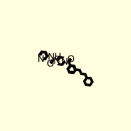 O=C(Nc1cccnc1)N1CCN(C(=O)c2cccc(CCCC3CCCCC3)c2)CC1